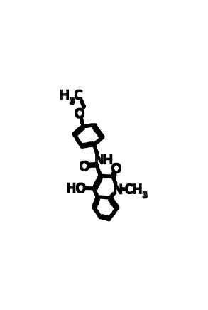 CCOc1ccc(NC(=O)c2c(O)c3ccccc3n(C)c2=O)cc1